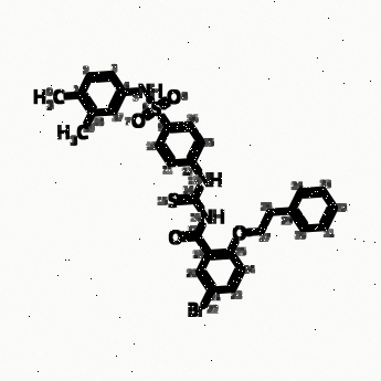 Cc1ccc(NS(=O)(=O)c2ccc(NC(=S)NC(=O)c3cc(Br)ccc3OCCc3ccccc3)cc2)cc1C